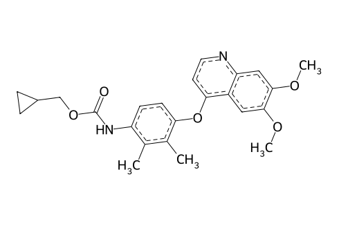 COc1cc2nccc(Oc3ccc(NC(=O)OCC4CC4)c(C)c3C)c2cc1OC